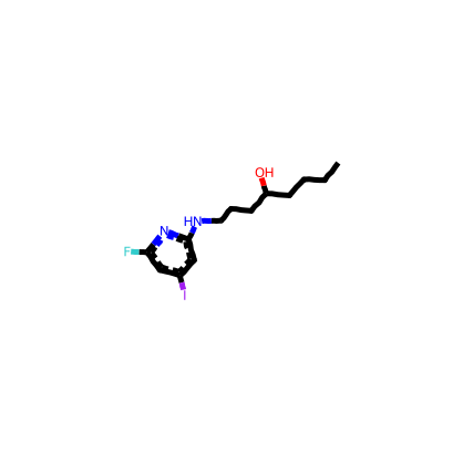 CCCCC(O)CCCNc1cc(I)cc(F)n1